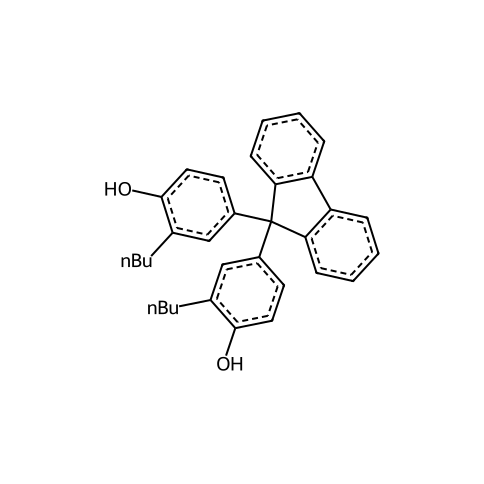 CCCCc1cc(C2(c3ccc(O)c(CCCC)c3)c3ccccc3-c3ccccc32)ccc1O